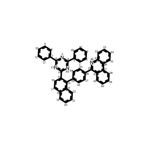 c1ccc(-c2nc(-c3ccccc3)nc(-c3ccc4ccccc4c3-c3ccc(-c4nc5ccccc5c5ccccc45)cc3)n2)cc1